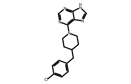 Clc1ccc(C[C]2CCN(c3ncnc4[nH]cnc34)CC2)cc1